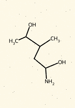 CC(O)C(C)CC(N)O